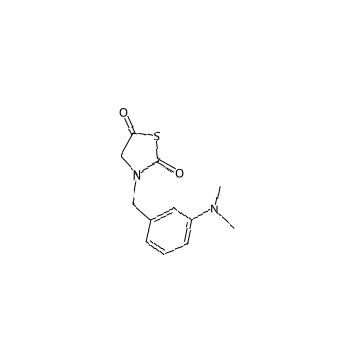 CN(C)c1cccc(CN2CC(=O)SC2=O)c1